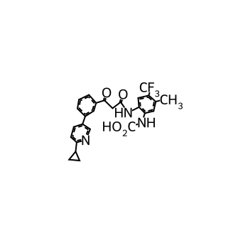 Cc1cc(NC(=O)O)c(NC(=O)CC(=O)c2cccc(-c3ccc(C4CC4)nc3)c2)cc1C(F)(F)F